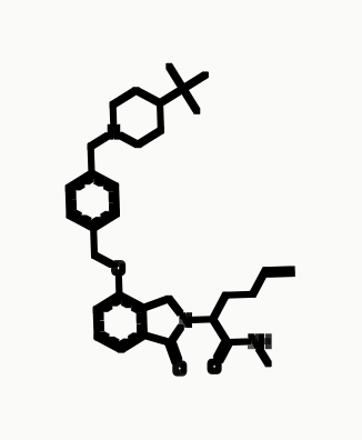 C=CCCC(C(=O)NC)N1Cc2c(OCc3ccc(CN4CCC(C(C)(C)C)CC4)cc3)cccc2C1=O